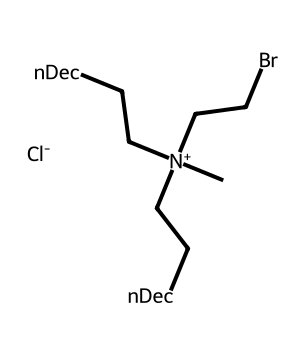 CCCCCCCCCCCC[N+](C)(CCBr)CCCCCCCCCCCC.[Cl-]